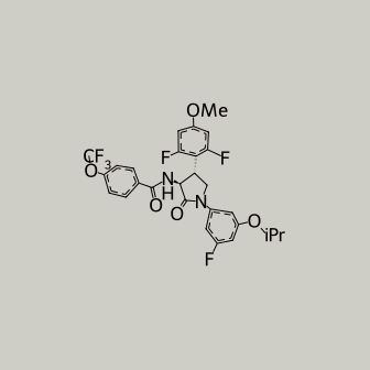 COc1cc(F)c([C@@H]2CN(c3cc(F)cc(OC(C)C)c3)C(=O)[C@H]2NC(=O)c2ccc(OC(F)(F)F)cc2)c(F)c1